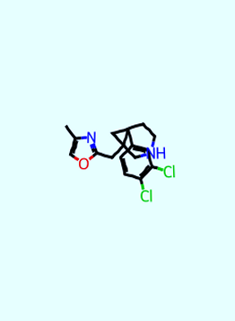 Cc1coc(CC23CNCCC2(c2ccc(Cl)c(Cl)c2)C3)n1